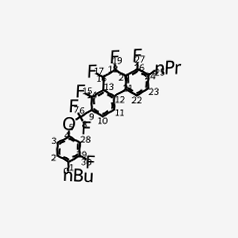 CCCCc1ccc(OC(F)(F)c2ccc3c(c2F)C(F)C(F)c2c-3ccc(CCC)c2F)cc1F